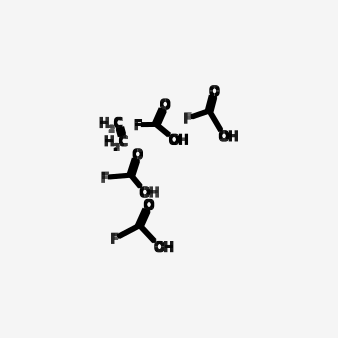 C=C.O=C(O)F.O=C(O)F.O=C(O)F.O=C(O)F